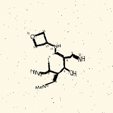 CN/C=C(\C(=N)I)C(O)/C(C=N)=C/NC1COC1